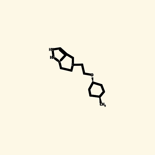 C[C@H]1CC[C@H](OCCN2CCN3NNC=C3C2)CC1